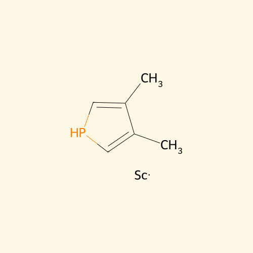 Cc1c[pH]cc1C.[Sc]